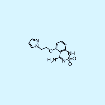 NC1=NS(=O)(=O)Nc2cccc(OCCn3cccn3)c21